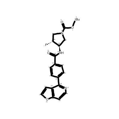 CC(C)(C)OC(=O)N1C[C@@H](F)[C@H](NC(=O)c2ccc(-c3nccc4occc34)cc2)C1